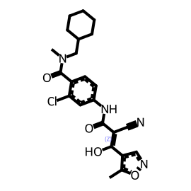 Cc1oncc1/C(O)=C(\C#N)C(=O)Nc1ccc(C(=O)N(C)CC2CCCCC2)c(Cl)c1